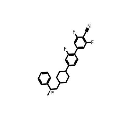 C[C@H](CC1CCC(c2ccc(-c3cc(F)c(C#N)c(F)c3)c(F)c2)CC1)c1ccccc1